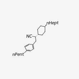 CCCCCCC[C@H]1CC[C@H](C(C#N)Cc2ccc(CCCCC)cc2)CC1